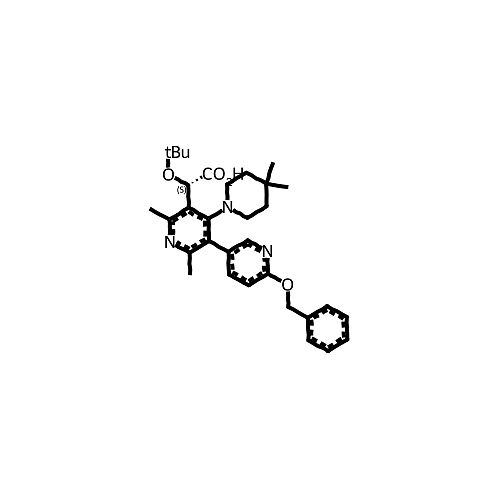 Cc1nc(C)c([C@H](OC(C)(C)C)C(=O)O)c(N2CCC(C)(C)CC2)c1-c1ccc(OCc2ccccc2)nc1